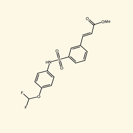 COC(=O)C=Cc1cccc(S(=O)(=O)Nc2ccc(OC(F)F)cc2)c1